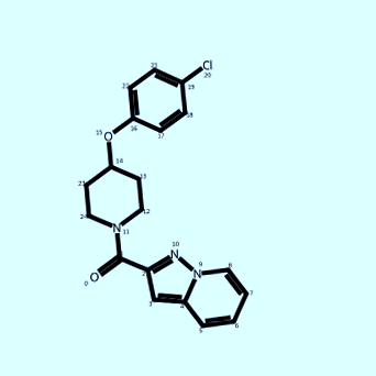 O=C(c1cc2ccccn2n1)N1CCC(Oc2ccc(Cl)cc2)CC1